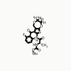 [2H]C1([2H])OCc2c(sc(NC(=O)[C@H](C)NC(=O)OC(C)(C)C)c2C(=O)c2c(F)cccc2F)OC1([2H])[2H]